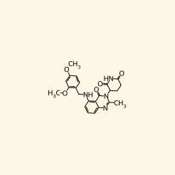 COc1ccc(CNc2cccc3nc(C)n(C4CCC(=O)NC4=O)c(=O)c23)c(OC)c1